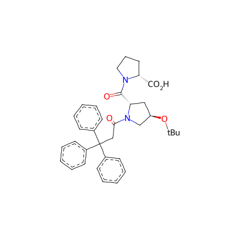 CC(C)(C)O[C@@H]1C[C@@H](C(=O)N2CCC[C@@H]2C(=O)O)N(C(=O)CC(c2ccccc2)(c2ccccc2)c2ccccc2)C1